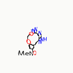 CNC(=O)c1ccc2c(c1)/C=C/c1n[nH]c3cnc(cc13)-c1cnn(C)c1OCCCO2